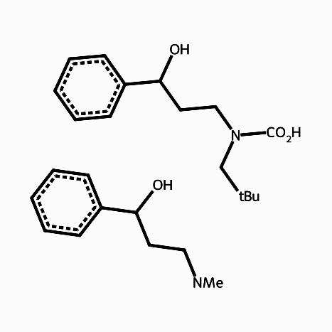 CC(C)(C)CN(CCC(O)c1ccccc1)C(=O)O.CNCCC(O)c1ccccc1